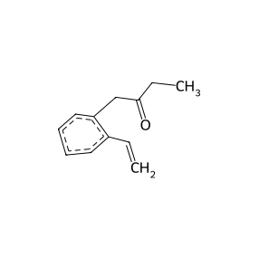 C=Cc1ccccc1CC(=O)CC